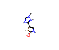 Cn1cnc(-c2cnc(O)s2)n1